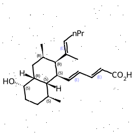 CCC/C=C(\C)[C@H]1[C@@H](/C=C/C=C/C(=O)O)[C@H]2[C@@H](C[C@H]1C)[C@@H](O)CC[C@@H]2C